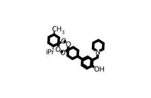 CC(C)[C@@H]1CC[C@@H](C)CC12OOC1(CCC(c3ccc(O)c(CN4CCCCC4)c3)CC1)OO2